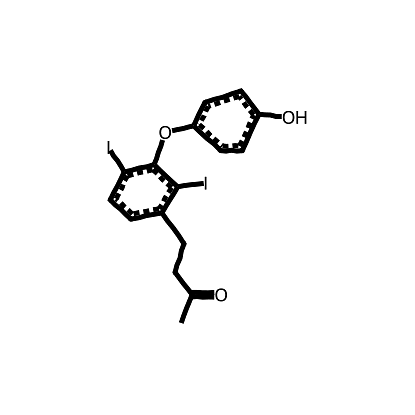 CC(=O)CCc1ccc(I)c(Oc2ccc(O)cc2)c1I